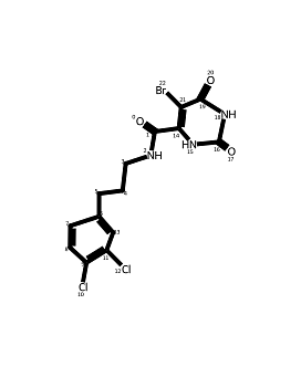 O=C(NCCCc1ccc(Cl)c(Cl)c1)c1[nH]c(=O)[nH]c(=O)c1Br